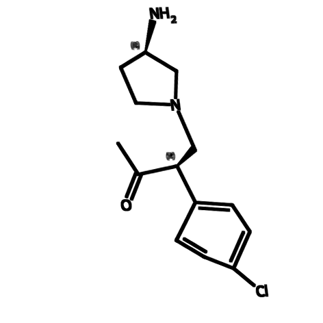 CC(=O)[C@@H](CN1CC[C@@H](N)C1)c1ccc(Cl)cc1